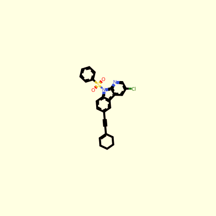 O=S(=O)(c1ccccc1)n1c2ccc(C#CC3=CCCCC3)cc2c2cc(Cl)cnc21